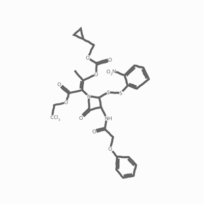 CC(OC(=O)OCC1CC1)=C(C(=O)OCC(Cl)(Cl)Cl)N1C(=O)C(NC(=O)COc2ccccc2)C1SSc1ccccc1[N+](=O)[O-]